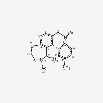 CC(=O)N(Cc1ccc2c(c1)[C@@H](C)N(C(C)=O)CCO2)c1ccc(C)cc1